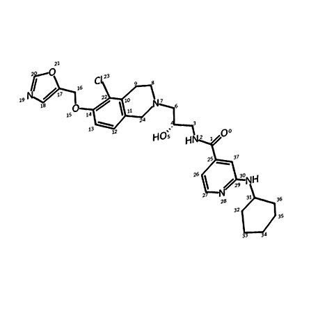 O=C(NC[C@H](O)CN1CCc2c(ccc(OCc3cnco3)c2Cl)C1)c1ccnc(NC2CCCCC2)c1